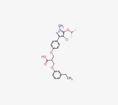 CCc1cccc(OCC(COc2ccc(-c3nn(C)c(OC(F)F)c3Cl)cc2)C(=O)O)c1